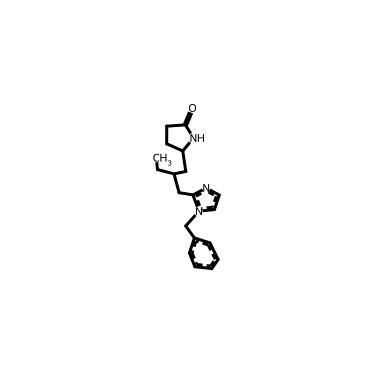 CCC(Cc1nccn1Cc1ccccc1)CC1CCC(=O)N1